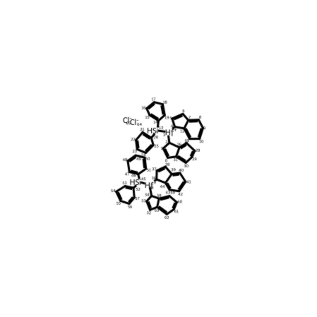 C1=C[CH]([Hf+]([CH]2C=Cc3ccccc32)[SiH](c2ccccc2)c2ccccc2)c2ccccc21.C1=C[CH]([Hf+]([CH]2C=Cc3ccccc32)[SiH](c2ccccc2)c2ccccc2)c2ccccc21.[Cl-].[Cl-]